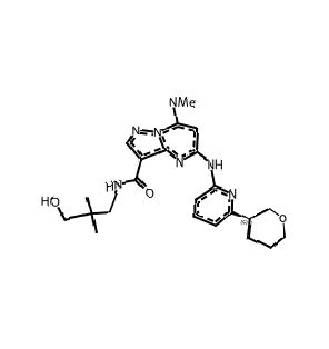 CNc1cc(Nc2cccc([C@@H]3CCCOC3)n2)nc2c(C(=O)NCC(C)(C)CO)cnn12